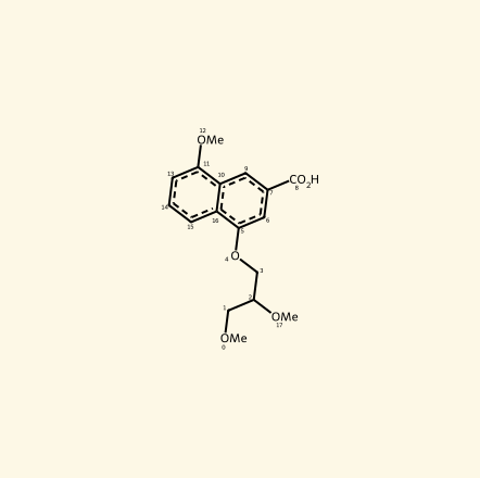 COCC(COc1cc(C(=O)O)cc2c(OC)cccc12)OC